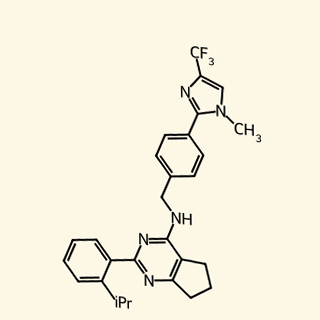 CC(C)c1ccccc1-c1nc2c(c(NCc3ccc(-c4nc(C(F)(F)F)cn4C)cc3)n1)CCC2